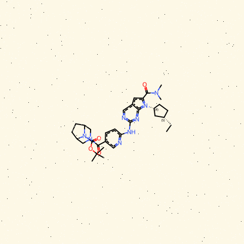 CC[C@H]1CC[C@@H](n2c(C(=O)N(C)C)cc3cnc(Nc4ccc(C(=O)N5CC6CCC(C5)N6C(=O)OC(C)(C)C)cn4)nc32)C1